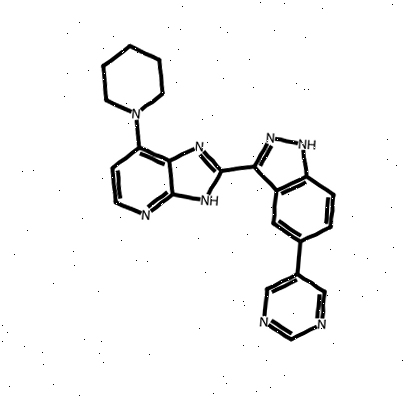 c1ncc(-c2ccc3[nH]nc(-c4nc5c(N6CCCCC6)ccnc5[nH]4)c3c2)cn1